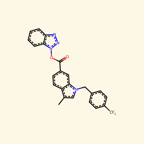 Cc1cn(Cc2ccc(C(F)(F)F)cc2)c2cc(C(=O)On3nnc4ccccc43)ccc12